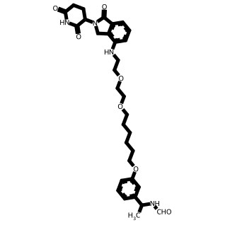 CC(NC=O)c1cccc(OCCCCCCOCCOCCNc2cccc3c2CN(C2CCC(=O)NC2=O)C3=O)c1